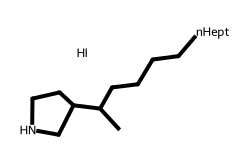 CCCCCCCCCCCC(C)C1CCNC1.I